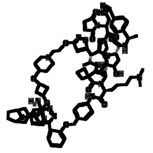 CC(C)[C@@H](C(=O)N1C[C@H](O)C[C@H]1C(=O)N[C@H](C)c1ccc(C#N)cc1)c1cc(OCCN2CCC(OC3CC(Oc4cc(N5C6CCC5CN(c5cc(-c7ccccc7OCc7ccc(NC(=O)[C@H](CCCCN(C)C)N(CCCCCNC(=O)[C@H](CO)N8C(=O)C=CC8=O)C(=O)C8(C(N)=O)CCC8)cc7)nnc5N)C6)ccn4)C3)CC2)no1